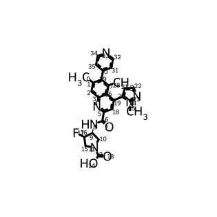 Cc1cc2nc(C(=O)N[C@@H]3CN(C(=O)O)CC3F)cc(-c3ccnn3C)c2c(C)c1-c1ccncc1